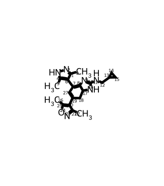 Cc1n[nH]c(C)c1C1=C2N=C(NCC3CC3)NC2CC(c2c(C)noc2C)=C1